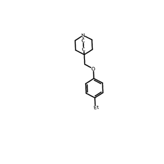 CCc1ccc(OCC23CCN(CC2)CC3)cc1